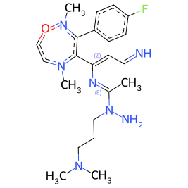 C/C(=N\C(=C/C=N)c1c(-c2ccc(F)cc2)n(C)occn1C)N(N)CCCN(C)C